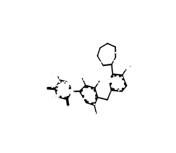 Cc1cc(-n2nc(C#N)c(=O)[nH]c2=O)c(C)c(C)c1Cc1ccc(O)c(C2CCCCCC2)n1